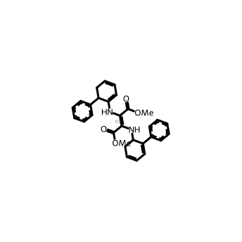 COC(=O)/C(NC1=CC=CCC1c1ccccc1)=C(\NC1CC=CC=C1c1ccccc1)C(=O)OC